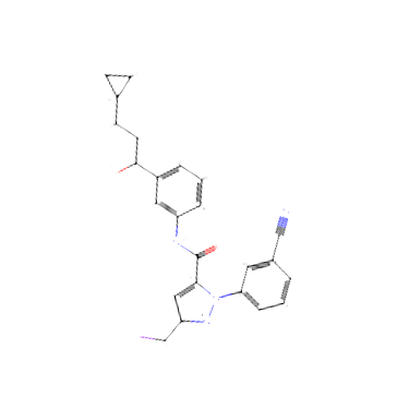 N#Cc1cccc(N2NC(CI)C=C2C(=O)Nc2cccc(C(O)CCC3CC3)c2)c1